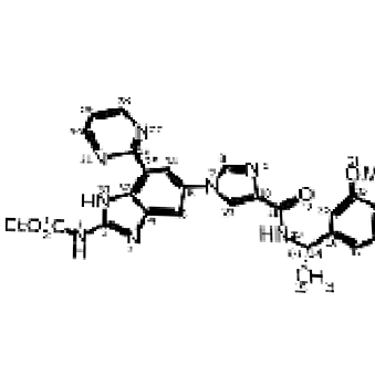 CCOC(=O)Nc1nc2cc(-n3cnc(C(=O)N[C@@H](C)c4cccc(OC)c4)c3)cc(-c3ncccn3)c2[nH]1